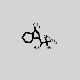 CC1=CC(C([SiH3])C(C)(C)C(C)C)C2=C1CCCC2